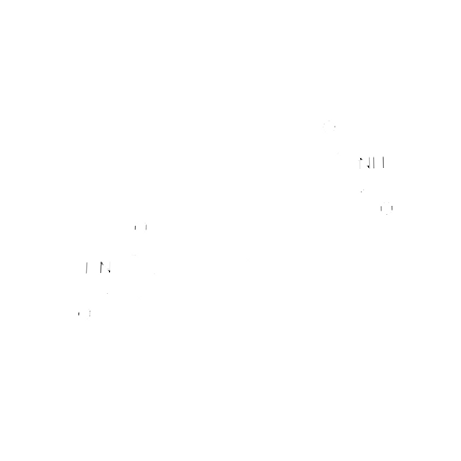 CC1=C(CCc2cccc(CCC3=C(C)C(=O)NC3=O)c2C)C(=O)NC1=O